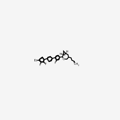 C=CCCC1COC(c2ccc(-c3ccc(-c4ccc(CC)c(F)c4F)cc3)c(F)c2)[C@@H]2C[C@H]2C1